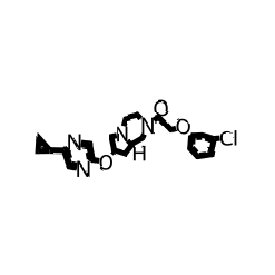 O=C(COc1cccc(Cl)c1)N1CCN2C[C@H](Oc3cnc(C4CC4)cn3)C[C@H]2C1